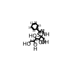 OCC(O)C(O)C(O)C1(CO)NN=C(c2ccccc2)S1